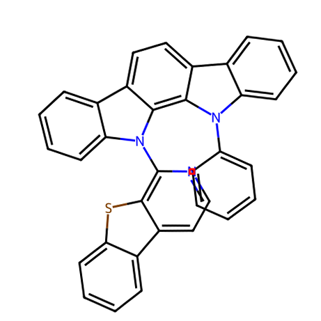 c1ccc(-n2c3ccccc3c3ccc4c5ccccc5n(-c5nccc6c5sc5ccccc56)c4c32)cc1